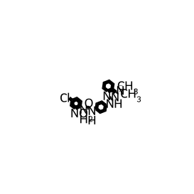 CN(C)c1nc(NC2CCC(NC(=O)Nc3ccc(Cl)cc3[N+](=O)[O-])CC2)nc2c1CCCC2